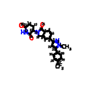 Cn1nc(-c2ccc3c(c2)CN(C2CCC(=O)NC2=O)C3=O)cc1-c1ccc(C(F)(F)F)cc1